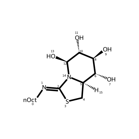 CCCCCCCC/N=C1\SC[C@@H]2[C@@H](O)[C@H](O)[C@@H](O)[C@H](O)N12